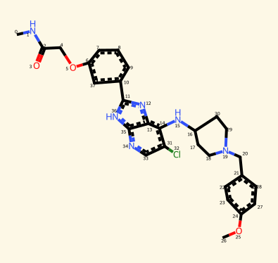 CNC(=O)COc1cccc(-c2nc3c(NC4CCN(Cc5ccc(OC)cc5)CC4)c(Cl)cnc3[nH]2)c1